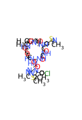 Cc1ncsc1-c1ccc([C@H]2CC(=O)NCC(=O)N[C@H](CNC(=O)C[C@@H]3N=C(c4ccc(Cl)cc4)c4c(sc(C)c4C)-n4c(C)nnc43)C(=O)NCCOCC(=O)N[C@@H](C(C)(C)C)C(=O)N3CCC[C@H]3C(=O)N2)cc1